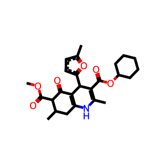 COC(=O)C1C(=O)C2=C(CC1C)NC(C)=C(C(=O)OC1CCCCC1)C2c1ccc(C)o1